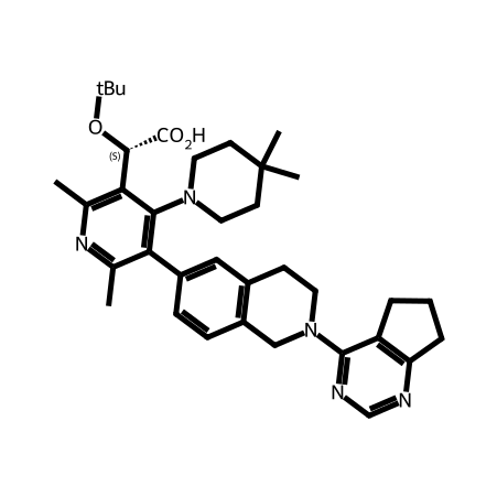 Cc1nc(C)c([C@H](OC(C)(C)C)C(=O)O)c(N2CCC(C)(C)CC2)c1-c1ccc2c(c1)CCN(c1ncnc3c1CCC3)C2